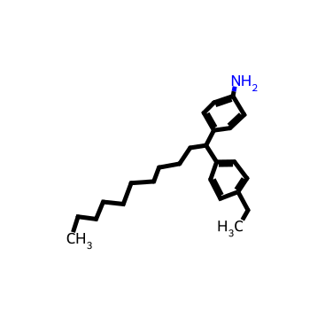 CCCCCCCCCCC(c1ccc(N)cc1)c1ccc(CC)cc1